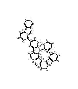 c1ccc2c(c1)oc1c(-c3ccc4c(c3)c3ccc5sc6cccc7c8ccccc8c8ccccc8n4c3c5c67)cccc12